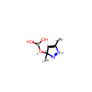 CC(C)C1=CC(OB(O)O)(C(C)C)N=N1